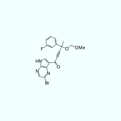 COCOC(C)(C#CC(=O)c1c[nH]c2ncc(Br)nc12)c1cccc(F)c1